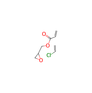 C=CC(=O)OCC1CO1.C=CCl